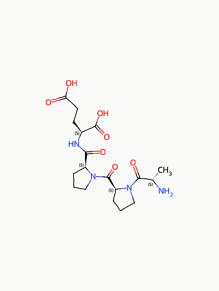 C[C@H](N)C(=O)N1CCC[C@H]1C(=O)N1CCC[C@H]1C(=O)N[C@@H](CCC(=O)O)C(=O)O